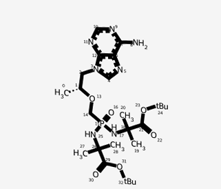 C[C@H](Cn1cnc2c(N)ncnc21)OCP(=O)(NC(C)(C)C(=O)OC(C)(C)C)NC(C)(C)C(=O)OC(C)(C)C